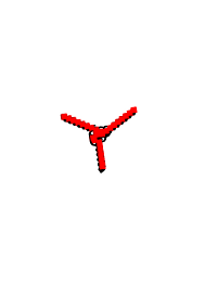 CCCCCCCCCCCCCCSCC(=O)SC(CSCCCCCCCCCCCCCC)C(OC(C)=O)SCCCCCCCCCCCCCC